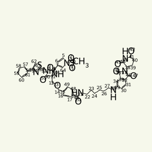 CS(=O)(=O)n1ccc(C(=O)N[C@@H](COCc2ccc(C(=O)NCCCCCCNc3ccc4c(c3)C(=O)N(C3CCC(=O)NC3=O)C4=O)cc2)C(=O)Nc2nc(-c3ccccc3)cs2)c1